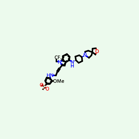 COc1cc(S(C)(=O)=O)ccc1NCC#Cc1cc2c(N[C@H]3CC[C@H](N4CCC5(CCOC5)CC4)CC3)cccc2n1CC(F)(F)F